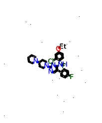 CCOc1ccc(Nc2nc(N3CCC(N4CCCCC4)CC3)ncc2-c2ccc(F)cc2F)c(Cl)c1